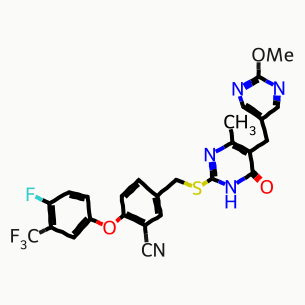 COc1ncc(Cc2c(C)nc(SCc3ccc(Oc4ccc(F)c(C(F)(F)F)c4)c(C#N)c3)[nH]c2=O)cn1